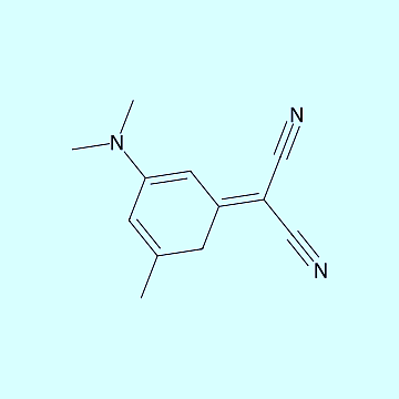 CC1=CC(N(C)C)=CC(=C(C#N)C#N)C1